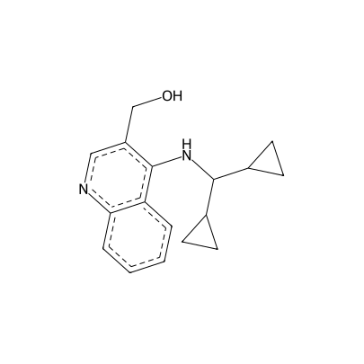 OCc1cnc2ccccc2c1NC(C1CC1)C1CC1